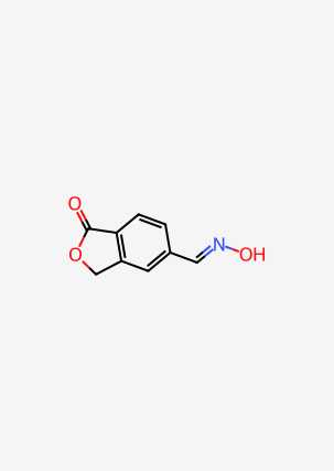 O=C1OCc2cc(/C=N/O)ccc21